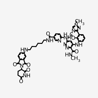 CNC(=O)c1nnc(Nc2ccc(C(=O)NCCCCCCNc3ccc4c(c3)C(=O)N(C3CCC(=O)NC3=O)C4=O)cn2)cc1Nc1cccc(-c2ncn(C)n2)c1OC